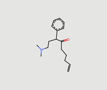 C=CCCCC(=O)C(CCN(C)C)c1ccccc1